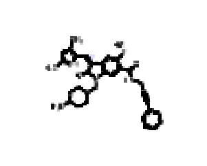 Cc1cc(C)c(/C=C2\C(=O)N(CC3CCC(N)CC3)c3cc(C(=O)NCC#Cc4ccccc4)c(F)cc32)[nH]1.Cl